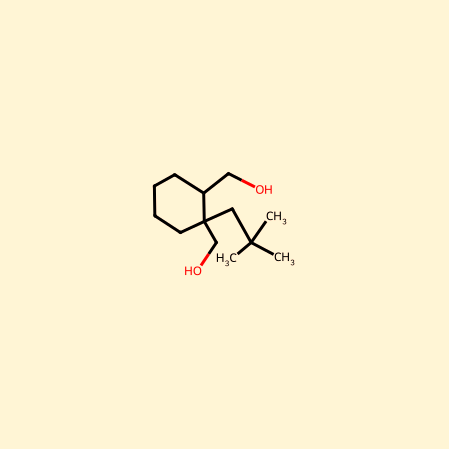 CC(C)(C)CC1(CO)CCCCC1CO